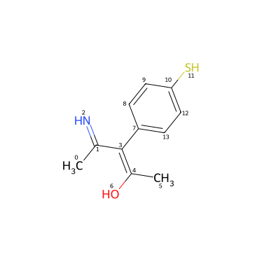 CC(=N)/C(=C(/C)O)c1ccc(S)cc1